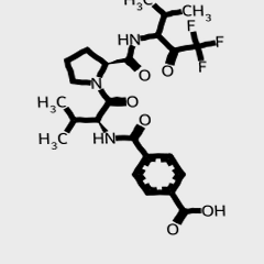 CC(C)C(NC(=O)[C@@H]1CCCN1C(=O)[C@@H](NC(=O)c1ccc(C(=O)O)cc1)C(C)C)C(=O)C(F)(F)F